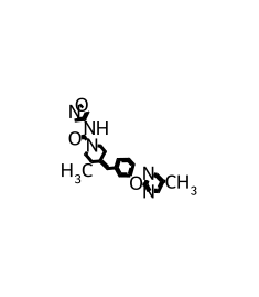 Cc1cnc(Oc2cccc(C=C3CCN(C(=O)Nc4cnoc4)CC3C)c2)nc1